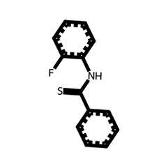 Fc1ccccc1NC(=S)c1ccccc1